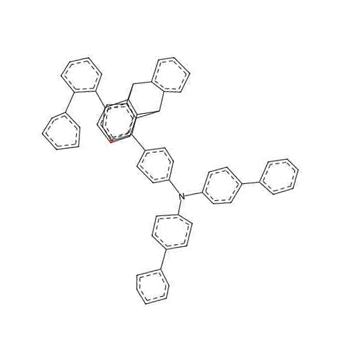 c1ccc(-c2ccc(N(c3ccc(-c4ccccc4)cc3)c3ccc(-c4ccc(-c5ccccc5-c5ccccc5)c5c4C4c6ccccc6C5c5ccccc54)cc3)cc2)cc1